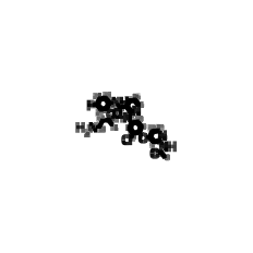 CC(=O)Nc1cc(Oc2ccc(Nc3ncccc3C(=O)Nc3ccc(F)cc3OC(C)CCN)cc2Cl)ccn1